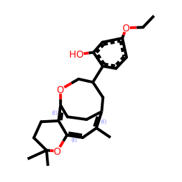 CCOc1ccc(C2CO\C3=C4/CCC(C)(C)O/C4=C/C(C)=C(\CC3)C2)c(O)c1